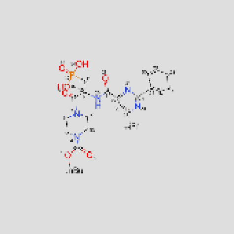 CCCCOC(=O)N1CCN(C(=O)[C@H](CP(=O)(O)O)NC(=O)c2cc(C(C)C)nc(-c3ccccc3)n2)CC1